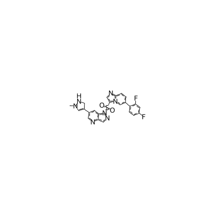 CN1C=C(c2cnc3cnn(S(=O)(=O)c4cnc5ccc(-c6ccc(F)cc6F)cn45)c3c2)CN1